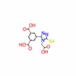 O=C(O)Cn1c(S)nnc1-c1cc(C(=O)O)cc(C(=O)O)c1